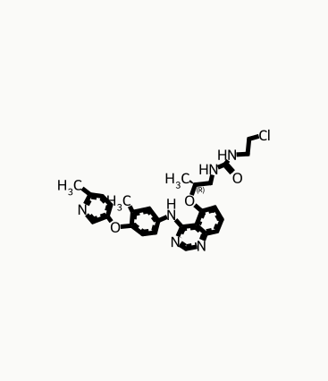 Cc1ccc(Oc2ccc(Nc3ncnc4cccc(O[C@H](C)CNC(=O)NCCCl)c34)cc2C)cn1